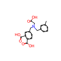 Cc1cccc(CN(CC(=O)O)Cc2ccc(C(=O)O)c(C(=O)O)c2)c1